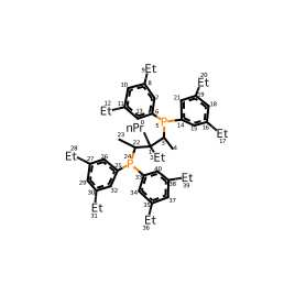 CCCC(CC)(C(C)P(c1cc(CC)cc(CC)c1)c1cc(CC)cc(CC)c1)C(C)P(c1cc(CC)cc(CC)c1)c1cc(CC)cc(CC)c1